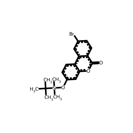 CC(C)(C)[Si](C)(C)Oc1ccc2c(c1)oc(=O)c1ccc(Br)cc12